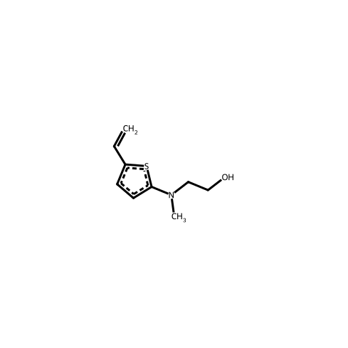 C=Cc1ccc(N(C)CCO)s1